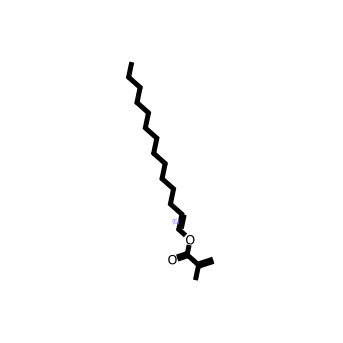 C=C(C)C(=O)O/C=C/CCCCCCCCCCCC